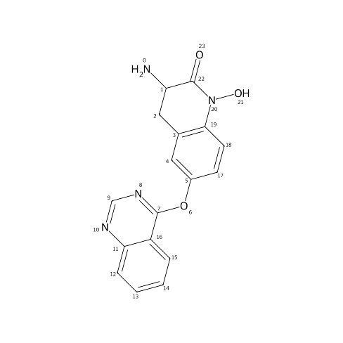 NC1Cc2cc(Oc3ncnc4ccccc34)ccc2N(O)C1=O